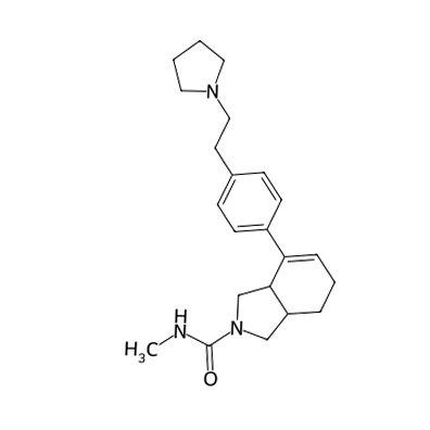 CNC(=O)N1CC2CCC=C(c3ccc(CCN4CCCC4)cc3)C2C1